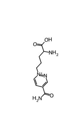 NC(=O)c1cc[n+](CCCC(N)C(=O)O)nc1